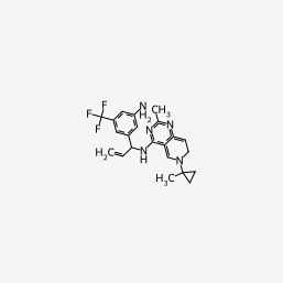 C=CC(Nc1nc(C)nc2c1=CN(C1(C)CC1)CC=2)c1cc(N)cc(C(F)(F)F)c1